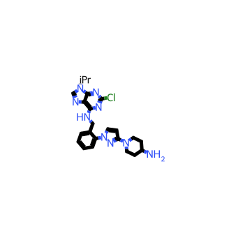 CC(C)n1cnc2c(NCc3ccccc3-n3ccc(N4CCC(N)CC4)n3)nc(Cl)nc21